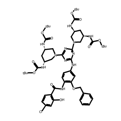 CC(C)(C)OC(=O)N[C@@H]1C[C@H](NC(=O)OC(C)(C)C)CN(c2nc(Nc3ccc(NC(=O)c4ccc(Cl)cc4O)c(OCc4ccccc4)c3)nc(N3C[C@H](NC(=O)OC(C)(C)C)C[C@H](NC(=O)OC(C)(C)C)C3)n2)C1